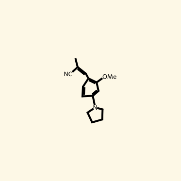 COc1cc(N2CCCC2)ccc1/C=C(/C)C#N